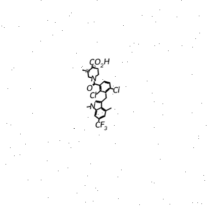 Cc1cc(C(F)(F)F)cc2c1c(Cc1c(Cl)ccc(C(=O)N3CC[C@H](C(=O)O)[C@H](C)C3)c1Cl)cn2C